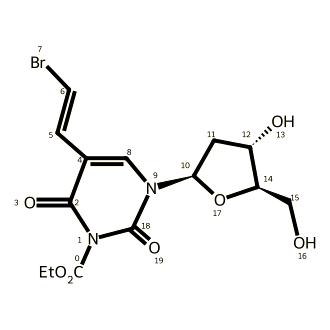 CCOC(=O)n1c(=O)c(C=CBr)cn([C@H]2C[C@H](O)[C@@H](CO)O2)c1=O